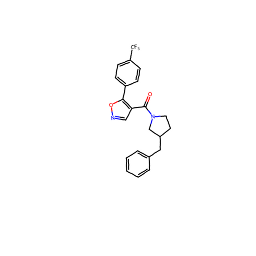 O=C(c1cnoc1-c1ccc(C(F)(F)F)cc1)N1CCC(Cc2ccccc2)C1